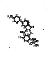 CCCS(=O)(=O)Nc1ccc(F)c(C(=O)C2CNc3ncc(-c4ccc(C(F)(F)F)cc4)cc32)c1F